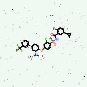 CN(C)[C@H]1C[C@@H](c2cccc(C(F)(F)F)c2)CC[C@@H]1Oc1ccc(S(=O)(=O)NC(=O)c2cc(C3CC3)ccc2F)c(F)c1